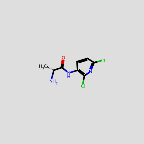 C[C@@H](N)C(=O)Nc1ccc(Cl)nc1Cl